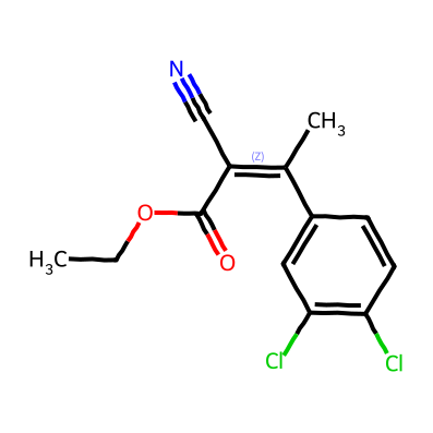 CCOC(=O)/C(C#N)=C(/C)c1ccc(Cl)c(Cl)c1